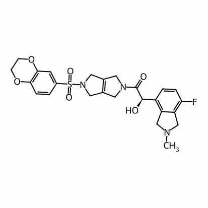 CN1Cc2c(F)ccc([C@@H](O)C(=O)N3CC4=C(C3)CN(S(=O)(=O)c3ccc5c(c3)OCCO5)C4)c2C1